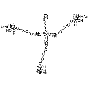 CC(=O)N[C@H]1[C@H]2OC[C@@](COCCOCCOCCOCCn3cc(COCC(COCc4cn(CCOCCOCCOCCOC[C@]56CO[C@@H](O5)[C@H](NC(C)=O)[C@@H](O)[C@H]6O)nn4)(COCc4cn(CCOCCOCCOCCOC[C@@]56CO[C@@H](O5)[C@H](NC(C)=O)[C@@H](O)[C@H]6O)nn4)NC(=O)CCCCCSSc4ccccn4)nn3)(O2)[C@H](O)[C@@H]1O